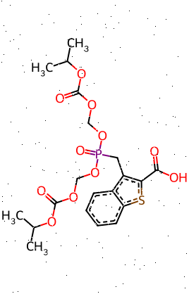 CC(C)OC(=O)OCOP(=O)(Cc1c(C(=O)O)sc2ccccc12)OCOC(=O)OC(C)C